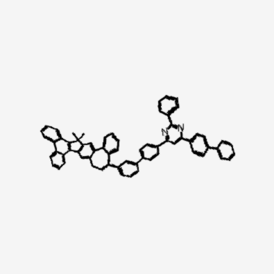 CC1(C)c2cc3c(cc2-c2c1c1ccccc1c1ccccc21)CCC(c1cccc(-c2ccc(-c4cc(-c5ccc(-c6ccccc6)cc5)nc(-c5ccccc5)n4)cc2)c1)c1ccccc1-3